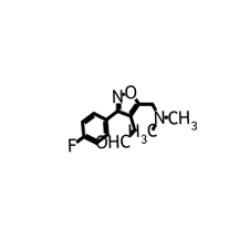 CN(C)Cc1onc(-c2ccc(F)cc2)c1CC=O